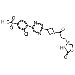 CS(=O)(=O)c1ccc(-c2cnc(C3CN(C(=O)CC[C@@H]4COC(=O)N4)C3)cn2)c(Cl)c1